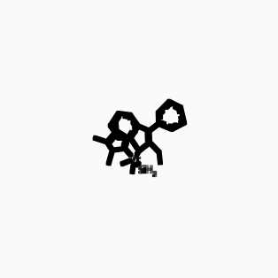 CCC1=C(c2ccccc2)c2ccccc2[CH]1[Zr]([CH3])([CH3])(=[SiH2])[C]1=C(C)C(C)=C(C)C1C